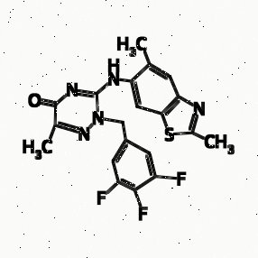 Cc1nc2cc(C)c(Nc3nc(=O)c(C)nn3Cc3cc(F)c(F)c(F)c3)cc2s1